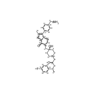 C[C@H](CC(=O)CN1CCC(O)(Cn2cnc3c(-c4ccc(CN)cc4)n(C)nc3c2=O)CC1)c1ccc(F)cc1